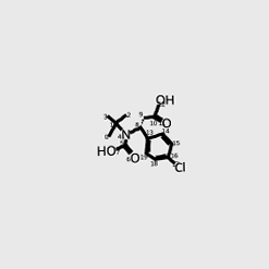 CC(C)(C)N(C(=O)O)[C@H](CC(=O)O)c1ccc(Cl)cc1